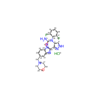 Cl.NC(=O)N(c1c[nH]nc1-c1nc2cc(CN3CCOCC3)ccc2[nH]1)c1c(F)cccc1F